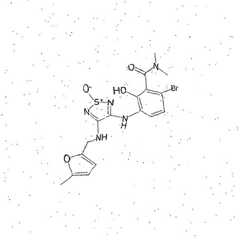 Cc1ccc(CNc2n[s+]([O-])nc2Nc2ccc(Br)c(C(=O)N(C)C)c2O)o1